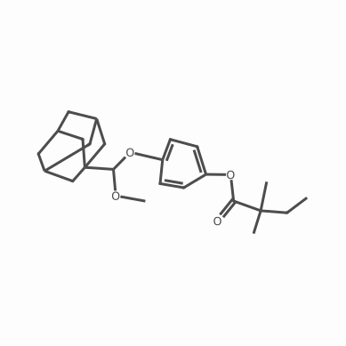 CCC(C)(C)C(=O)Oc1ccc(OC(OC)C23CC4CC(CC(C4)C2)C3)cc1